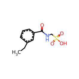 CCc1cccc(C(=O)NCS(=O)(=O)O)c1